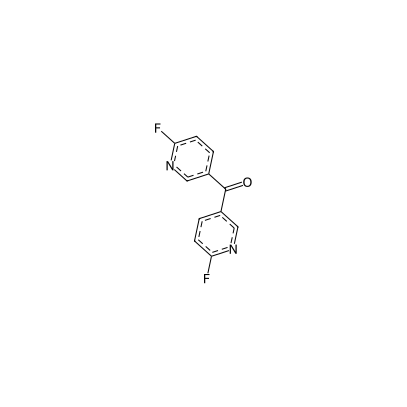 O=C(c1ccc(F)nc1)c1ccc(F)nc1